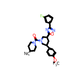 N#CC1CCN(C(=O)N2CC(c3ccc(OC(F)(F)F)cc3)CC(c3nc(-c4cccc(F)c4)no3)C2)CC1